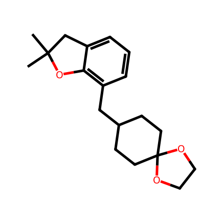 CC1(C)Cc2cccc(CC3CCC4(CC3)OCCO4)c2O1